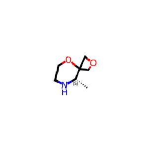 C[C@@H]1NCCOC12COC2